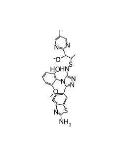 COc1cccc(O)c1-n1c(NSC(C)C(OC)c2ncc(C)cn2)nnc1C1=C=C=c2nc(N)sc2=C1